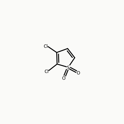 O=S1(=O)C=CC(Cl)=C1Cl